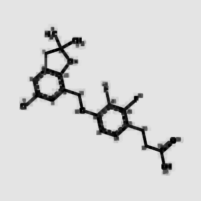 CC1(C)Cc2cc(Cl)cc(COc3ccc(CCC(=O)O)c(F)c3F)c2O1